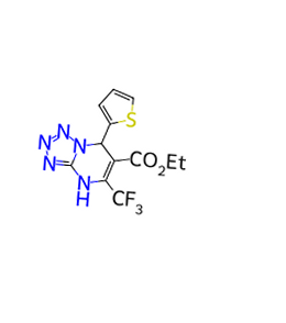 CCOC(=O)C1=C(C(F)(F)F)Nc2nnnn2C1c1cccs1